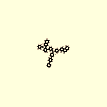 c1ccc(-c2ccc(-c3ccc(N(c4ccc(-c5ccc6c(ccc7ccccc76)c5)cc4)c4cccc(-c5cccc6c5c5cc7ccccc7cc5n6-c5ccccc5)c4)cc3)cc2)cc1